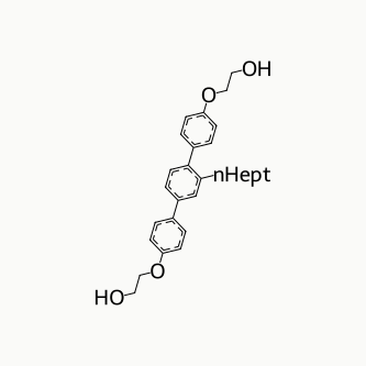 CCCCCCCc1cc(-c2ccc(OCCO)cc2)ccc1-c1ccc(OCCO)cc1